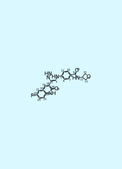 N=N/C(=C\Nc1ccc(C(=O)NC2COC2)cc1)c1cc2cc(F)ccc2[nH]c1=O